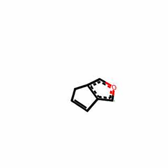 [c]1occ2c1C=CC2